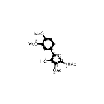 COc1ccc(-c2oc(NC(C)=O)c(OC(C)=O)c2O)cc1OC